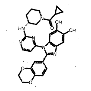 O=C(C1CC1)N1CCC[C@@H](Nc2nccc(-n3c(-c4ccc5c(c4)OCCO5)nc4cc(O)c(O)cc43)n2)C1